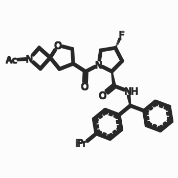 CC(=O)N1CC2(CC(C(=O)N3C[C@H](F)C[C@H]3C(=O)N[C@@H](c3ccccc3)c3ccc(C(C)C)cc3)CO2)C1